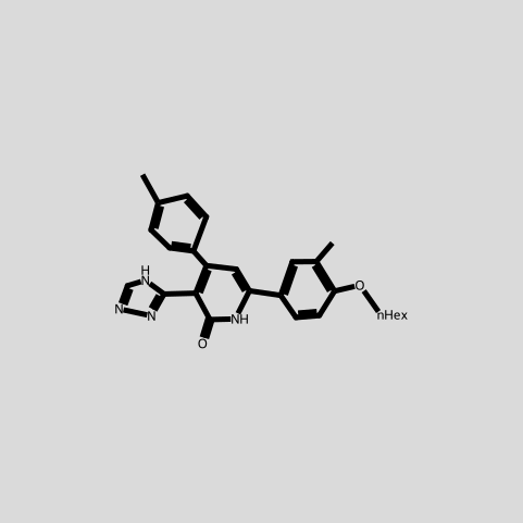 CCCCCCOc1ccc(-c2cc(-c3ccc(C)cc3)c(-c3nnc[nH]3)c(=O)[nH]2)cc1C